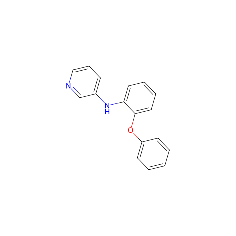 c1ccc(Oc2ccccc2Nc2cccnc2)cc1